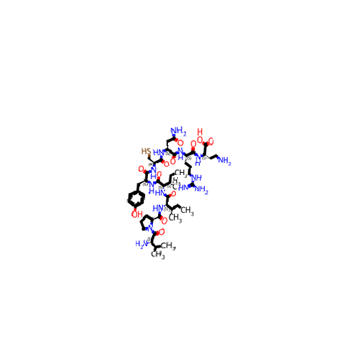 CC[C@H](C)[C@H](NC(=O)[C@@H](NC(=O)[C@@H]1CCCN1C(=O)[C@@H](N)C(C)C)[C@@H](C)CC)C(=O)N[C@@H](Cc1ccc(O)cc1)C(=O)N[C@@H](CS)C(=O)N[C@@H](CC(N)=O)C(=O)N[C@@H](CCCNC(=N)N)C(=O)N[C@@H](CCN)C(=O)O